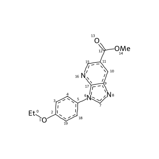 CCOc1ccc(-n2cnc3cc(C(=O)OC)cnc32)cc1